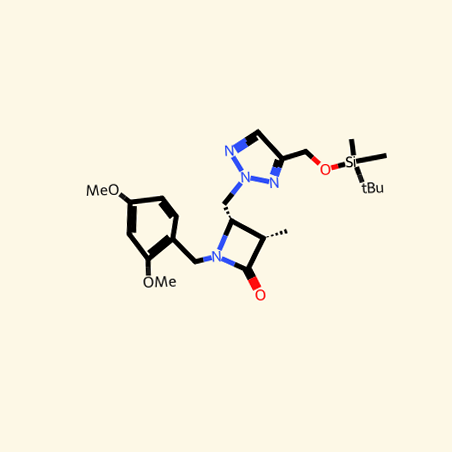 COc1ccc(CN2C(=O)[C@@H](C)[C@H]2Cn2ncc(CO[Si](C)(C)C(C)(C)C)n2)c(OC)c1